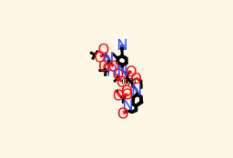 COC(=O)Cn1c(=O)ccc2ccc(N3CCO[C@H]([C@@H](OC(C)=O)C(=O)Nc4ccc(C#N)c(CN(C(=O)OC(C)(C)C)C(=O)OC(C)(C)C)c4)C3=O)cc21